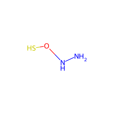 NNOS